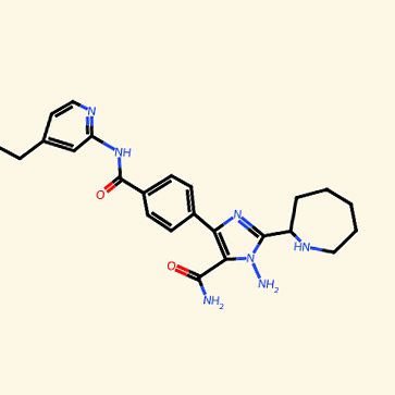 CCc1ccnc(NC(=O)c2ccc(-c3nc(C4CCCCCN4)n(N)c3C(N)=O)cc2)c1